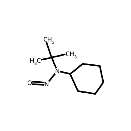 CC(C)(C)N(N=O)C1CCCCC1